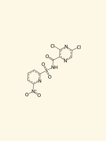 O=C(NS(=O)(=O)c1cccc([N+](=O)[O-])n1)c1ncc(Cl)nc1Cl